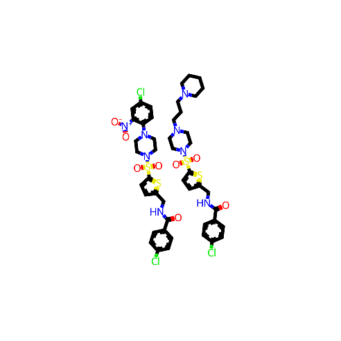 O=C(NCc1ccc(S(=O)(=O)N2CCN(CCCN3CCCCC3)CC2)s1)c1ccc(Cl)cc1.O=C(NCc1ccc(S(=O)(=O)N2CCN(c3ccc(Cl)cc3[N+](=O)[O-])CC2)s1)c1ccc(Cl)cc1